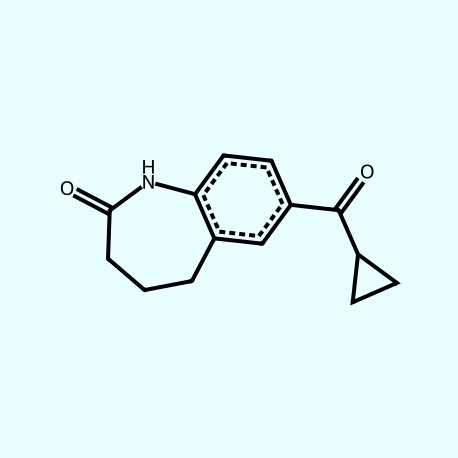 O=C1CCCc2cc(C(=O)C3CC3)ccc2N1